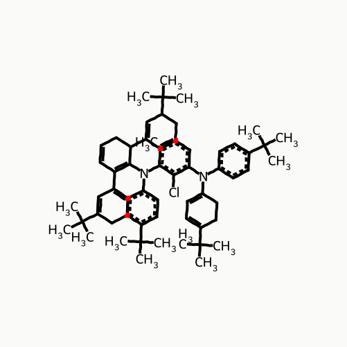 Cc1ccc(N(C2=CC=C(C(C)(C)C)CC2)c2ccc(C(C)(C)C)cc2)c(Cl)c1N(C1=C(C2=CCCC(C(C)(C)C)=C2)C=CCC1C1=CC(C(C)(C)C)CC=C1)c1ccc(C(C)(C)C)cc1